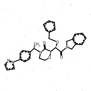 C[C@H](c1ccc(-n2cccn2)cc1)N1CCO[C@H]([C@@H](OCc2ccccc2)C(=O)N2Cc3ccccc3C2)C1=O